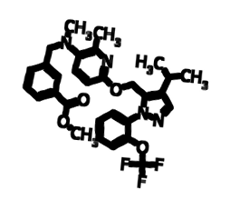 COC(=O)c1cccc(CN(C)c2ccc(OCc3c(C(C)C)cnn3-c3ccccc3OC(F)(F)F)nc2C)c1